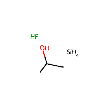 CC(C)O.F.[SiH4]